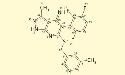 Cc1cncc(CSc2nc3[nH]nc(C)c3c(=N)n2-c2c(F)ccc(F)c2F)c1